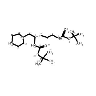 CC(C)(C)OC(=O)NCCC[C@@H](CN1CCNCC1)NC(=O)OC(C)(C)C